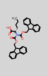 CCCC[C@@H](C(=O)O)N(C(=O)OCC1c2ccccc2-c2ccccc21)C(=O)OCC1c2ccccc2-c2ccccc21